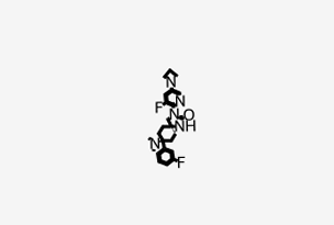 CN(C)[C@]1(c2cccc(F)c2)CC[C@]2(CC1)CN(c1ncc(N3CCC3)cc1F)C(=O)N2